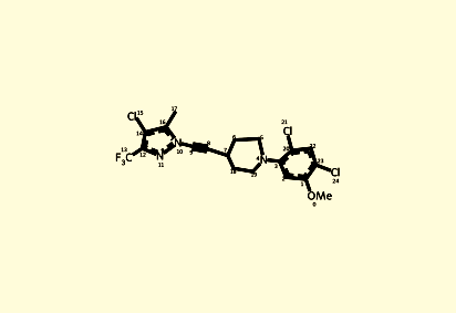 COc1cc(N2CCC(C#Cn3nc(C(F)(F)F)c(Cl)c3C)CC2)c(Cl)cc1Cl